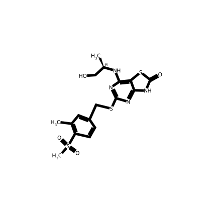 Cc1cc(CSc2nc(N[C@H](C)CO)c3sc(=O)[nH]c3n2)ccc1S(C)(=O)=O